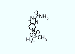 CC(C)S(=O)(=O)N1CCc2[c]nc(C(N)=O)nc2C1